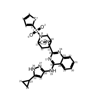 O=S(=O)(c1cccs1)N1CC2CCC1CN2c1nc(Nc2cc(C3CC3)[nH]n2)c2ccccc2n1